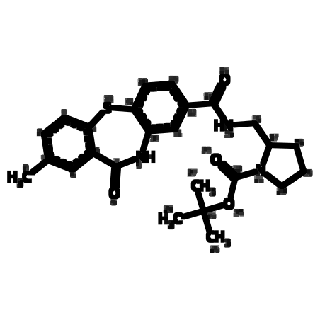 Cc1ccc2c(c1)C(=O)Nc1cc(C(=O)NCC3CCCN3C(=O)OC(C)(C)C)ccc1S2